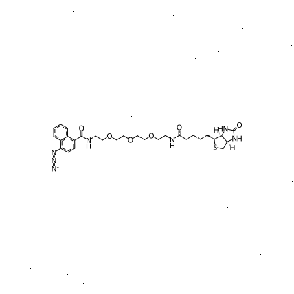 [N-]=[N+]=Nc1ccc(C(=O)NCCOCCOCCOCCNC(=O)CCCC[C@@H]2SC[C@@H]3NC(=O)N[C@@H]32)c2ccccc12